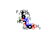 C#Cc1c(C(=O)NCC2(C#N)CCC(S(C)(=O)=O)CC2)nc(CC)n1-c1ccc(CC(C)(C)C(F)(F)F)cc1OC(F)F